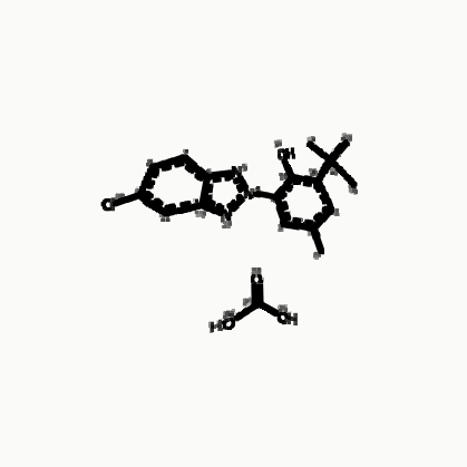 Cc1cc(-n2nc3ccc(Cl)cc3n2)c(O)c(C(C)(C)C)c1.O=C(O)O